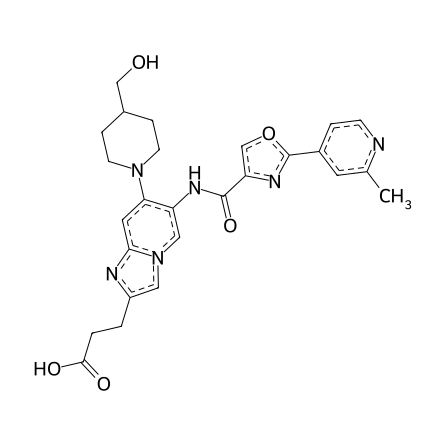 Cc1cc(-c2nc(C(=O)Nc3cn4cc(CCC(=O)O)nc4cc3N3CCC(CO)CC3)co2)ccn1